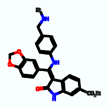 CCNCc1ccc(NC(=C2C(=O)Nc3cc(C(=O)OCC)ccc32)c2ccc3c(c2)OCO3)cc1